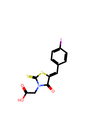 O=C(O)CN1C(=O)C(=Cc2ccc(I)cc2)SC1=S